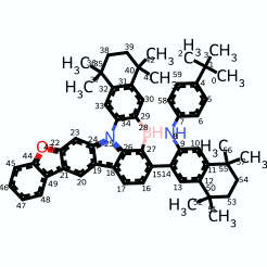 CC(C)(C)c1ccc(Nc2cc3c(cc2-c2ccc4c5cc6c(cc5n5c4c2Bc2cc4c(cc2-5)C(C)(C)CCC4(C)C)oc2ccccc26)C(C)(C)CCC3(C)C)cc1